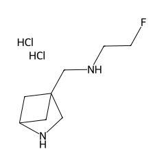 Cl.Cl.FCCNCC12CNC(C1)C2